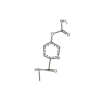 CNC(=O)c1ccc(OC(N)=O)cn1